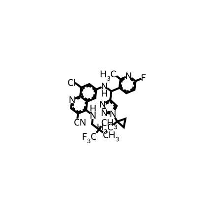 Cc1nc(F)ccc1C(Nc1cc(Cl)c2ncc(C#N)c(NCC(C)(C)C(F)(F)F)c2c1)c1cn(C2(C)CC2)nn1